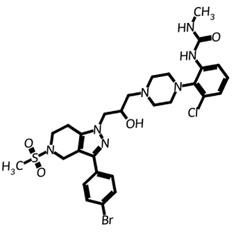 CNC(=O)Nc1cccc(Cl)c1N1CCN(CC(O)Cn2nc(-c3ccc(Br)cc3)c3c2CCN(S(C)(=O)=O)C3)CC1